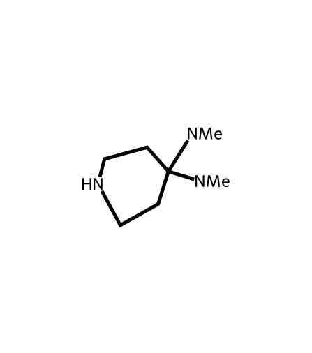 CNC1(NC)CCNCC1